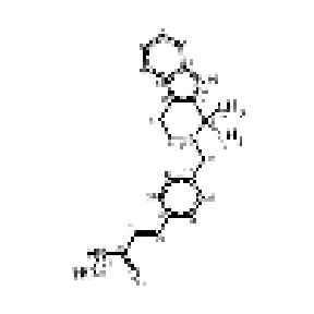 CC1(C)c2[nH]c3ccccc3c2CCN1Cc1ccc(C=CC(=O)NO)cc1